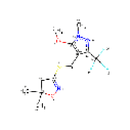 COc1c(CSC2=NOC(C)(C)C2)c(C(F)(F)F)nn1C